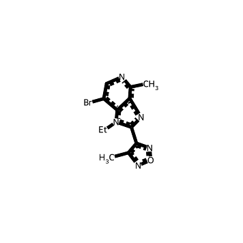 CCn1c(-c2nonc2C)nc2c(C)ncc(Br)c21